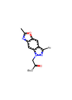 CC(=O)c1nn(CC(=O)OCC(C)C)c2cc3nc(C)oc3cc12